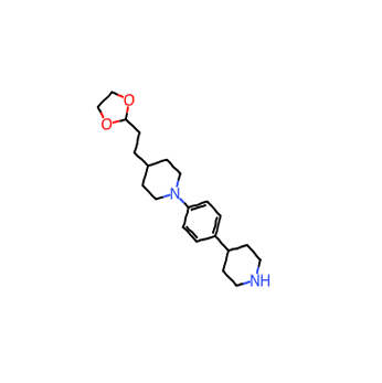 c1cc(N2CCC(CCC3OCCO3)CC2)ccc1C1CCNCC1